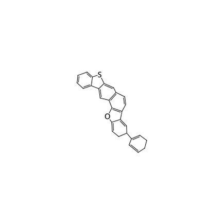 C1=CC(C2C=c3c(oc4c3ccc3cc5sc6ccccc6c5cc34)=CC2)=CCC1